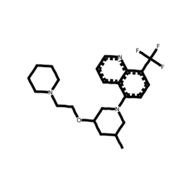 CC1CC(OCCN2CCCCC2)CN(c2ccc(C(F)(F)F)c3ncccc23)C1